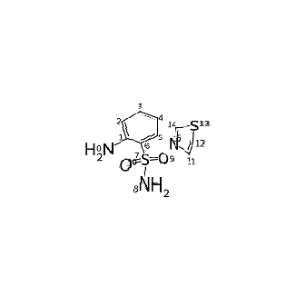 Nc1ccccc1S(N)(=O)=O.c1cscn1